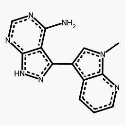 Cn1cc(-c2n[nH]c3ncnc(N)c23)c2cccnc21